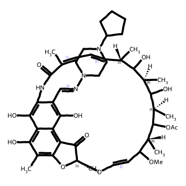 COC1/C=C/O[C@@]2(C)Oc3c(C)c(O)c4c(O)c(c(/C=N/N5CCN(C6CCCC6)CC5)c(O)c4c3C2=O)NC(=O)/C(C)=C\C=C\[C@H](C)C(O)[C@@H](C)C(O)[C@@H](C)C(OC(C)=O)[C@@H]1C